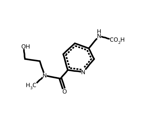 CN(CCO)C(=O)c1ccc(NC(=O)O)cn1